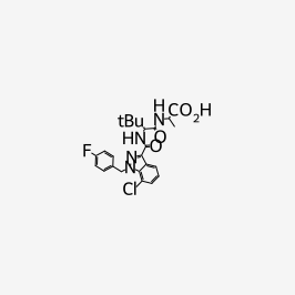 C[C@@H](NC(=O)[C@@H](NC(=O)c1nn(Cc2ccc(F)cc2)c2c(Cl)cccc12)C(C)(C)C)C(=O)O